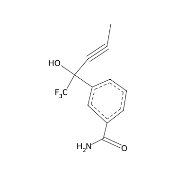 CC#CC(O)(c1cccc(C(N)=O)c1)C(F)(F)F